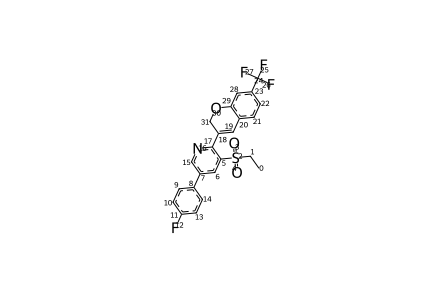 CCS(=O)(=O)c1cc(-c2ccc(F)cc2)cnc1C1=Cc2ccc(C(F)(F)F)cc2OC1